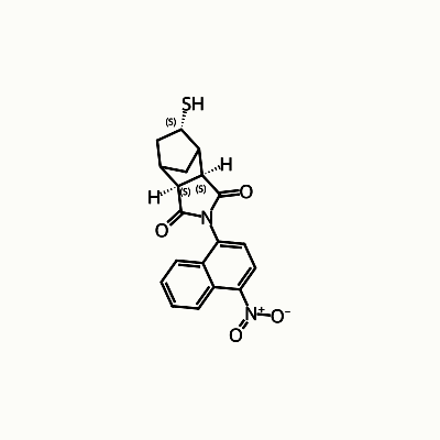 O=C1[C@@H]2C3CC(C[C@@H]3S)[C@@H]2C(=O)N1c1ccc([N+](=O)[O-])c2ccccc12